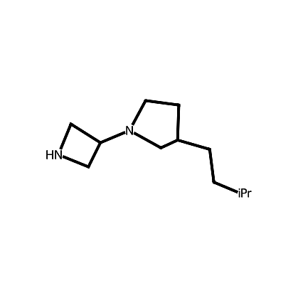 CC(C)CCC1CCN(C2CNC2)C1